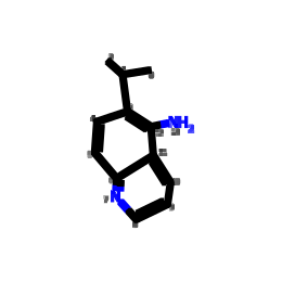 CC(C)c1ccc2ncccc2c1N